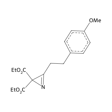 CCOC(=O)C1(C(=O)OCC)N=C1CCc1ccc(OC)cc1